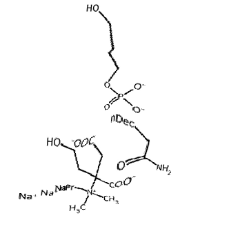 CCCCCCCCCCCC(N)=O.CCC[N+](C)(C)C(CCO)(CC(=O)[O-])C(=O)[O-].O=P([O-])([O-])OCCCO.[Na+].[Na+].[Na+]